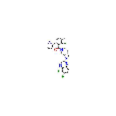 Cc1ccc(-c2ccccn2)c(C(=O)N2CCC3CN(c4cnc5c(F)c(F)ccc5n4)C3C2)c1F